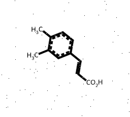 Cc1ccc(C=CC(=O)O)cc1C